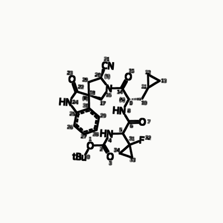 CC(C)(C)OC(=O)NC(C(=O)N[C@@H](CC1CC1)C(=O)N1C[C@]2(C[C@H]1C#N)C(=O)Nc1ccccc12)C1(F)CC1